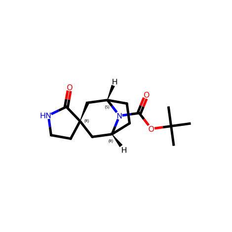 CC(C)(C)OC(=O)N1[C@@H]2CC[C@H]1C[C@]1(CCNC1=O)C2